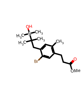 COC(=O)CCc1cc(Br)c(CC(C)(C)[Si](C)(C)O)cc1C